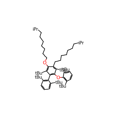 CC(C)CCCCCCCOc1c(CCCCCCCC(C)C)c(C(C)(C)C)c(Oc2c(C(C)(C)C)cccc2C(C)(C)C)c(-c2c(C(C)(C)C)cccc2C(C)(C)C)c1C(C)(C)C